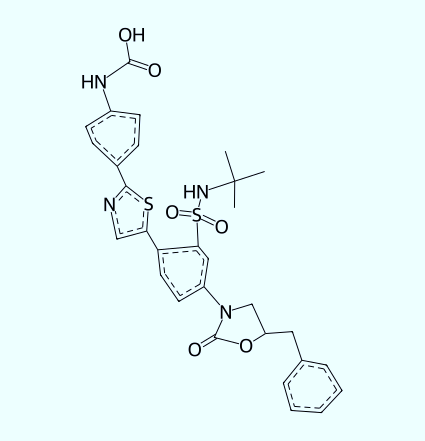 CC(C)(C)NS(=O)(=O)c1cc(N2CC(Cc3ccccc3)OC2=O)ccc1-c1cnc(-c2ccc(NC(=O)O)cc2)s1